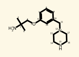 CC(C)(N)COc1cccc(CN2CCNCC2)c1